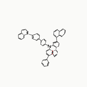 c1ccc(-c2ccc(N(c3ccc(-c4ccc(-c5cccc6ccccc56)cc4)cc3)c3cc(-c4cccc5ccccc45)ccc3-c3ccccc3)cc2)cc1